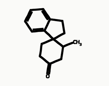 CC1CC(=O)CCC12CCc1ccccc12